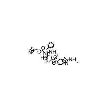 CC(C)C(C[C@@H](O)[C@](N)(Cc1ccccc1)NC(=O)OCc1cncs1)S(=O)(=O)c1ccc2nc(N)sc2c1